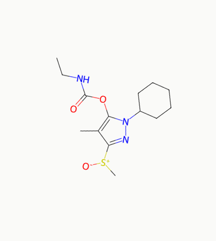 CCNC(=O)Oc1c(C)c([S+](C)[O-])nn1C1CCCCC1